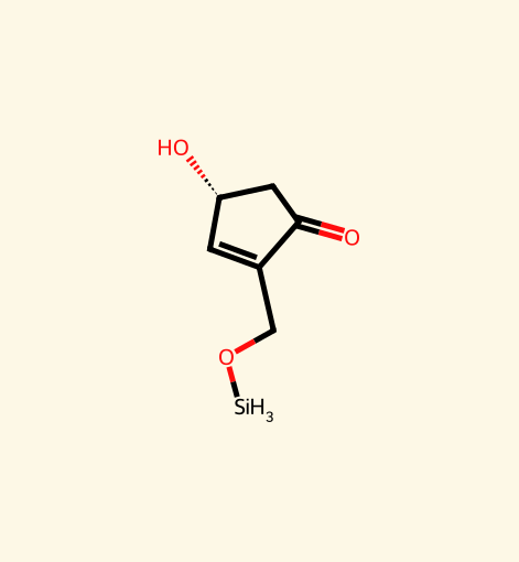 O=C1C[C@@H](O)C=C1CO[SiH3]